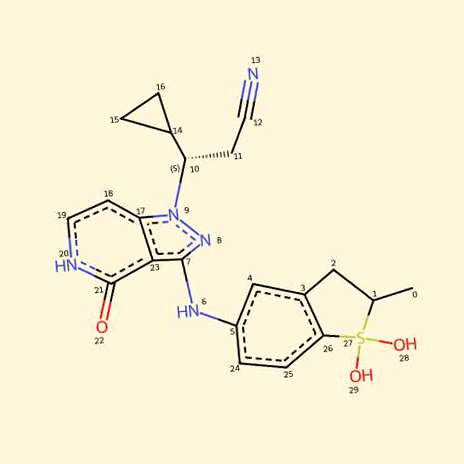 CC1Cc2cc(Nc3nn([C@@H](CC#N)C4CC4)c4cc[nH]c(=O)c34)ccc2S1(O)O